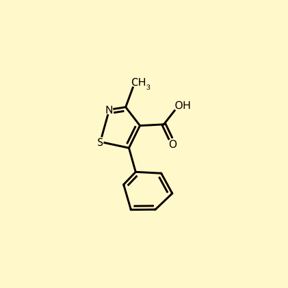 Cc1nsc(-c2ccccc2)c1C(=O)O